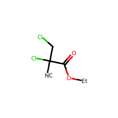 [C-]#[N+]C(Cl)(CCl)C(=O)OCC